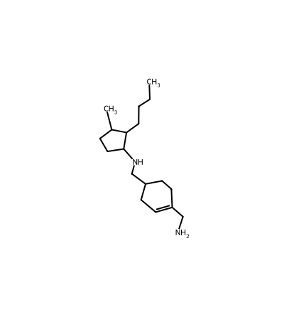 CCCCC1C(C)CCC1NCC1CC=C(CN)CC1